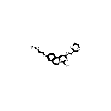 CC(C)OCCOc1ccc2c(c1)CCN1C2=CC(OC[C@@H]2COCCO2)=NC1O